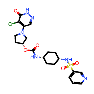 O=C(N[C@H]1CC[C@H](NS(=O)(=O)c2cccnc2)CC1)O[C@@H]1CCN(c2cn[nH]c(=O)c2Cl)C1